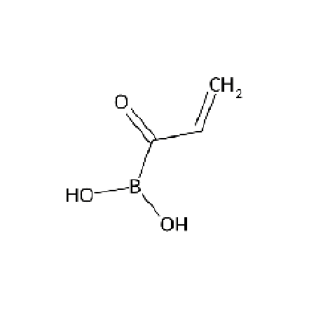 C=CC(=O)B(O)O